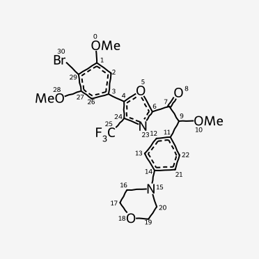 COc1cc(-c2oc(C(=O)C(OC)c3ccc(N4CCOCC4)cc3)nc2C(F)(F)F)cc(OC)c1Br